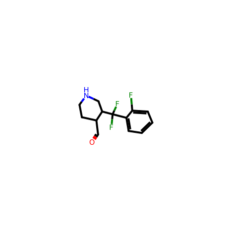 O=CC1CCNCC1C(F)(F)c1ccccc1F